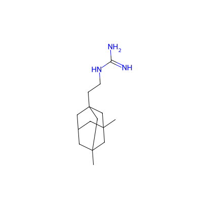 CC12CC3CC(C)(C1)CC(CCNC(=N)N)(C3)C2